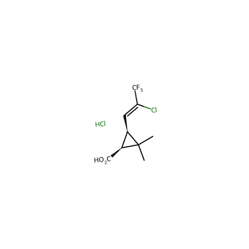 CC1(C)[C@H](C=C(Cl)C(F)(F)F)[C@@H]1C(=O)O.Cl